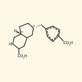 O=C(O)c1ccc(C[C@H]2CC[C@H]3CNC(C(=O)O)CC3C2)cc1